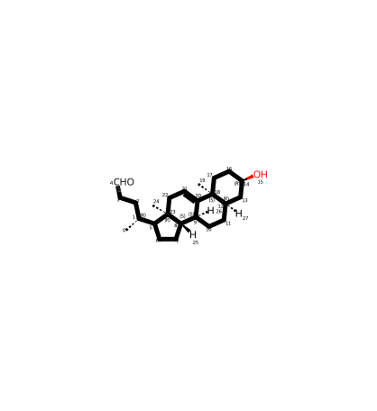 C[C@H](CCC=O)C1CC[C@H]2[C@@H]3CC[C@@H]4C[C@H](O)CC[C@]4(C)C3=CC[C@]12C